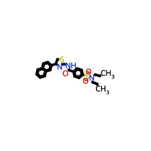 CCCN(CCC)S(=O)(=O)c1ccc(C(=O)NC2=NC(c3ccc4ccccc4c3)CS2)cc1